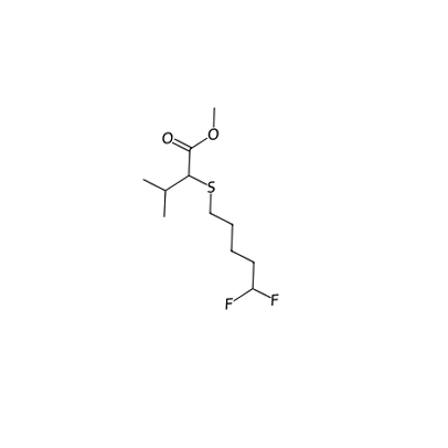 COC(=O)C(SCCCCC(F)F)C(C)C